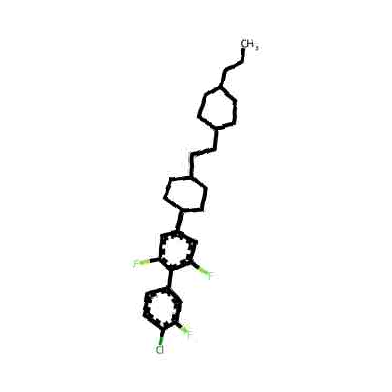 CCCC1CCC(CCC2CCC(c3cc(F)c(-c4ccc(Cl)c(F)c4)c(F)c3)CC2)CC1